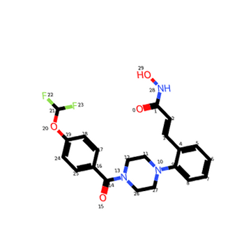 O=C(C=Cc1ccccc1N1CCN(C(=O)c2ccc(OC(F)F)cc2)CC1)NO